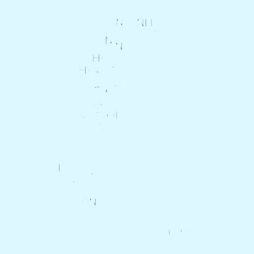 CCCCCCCCCCCCCCCCCCC[C@@H](COP(=O)(O)OC[C@@]1(C)OCC(O)(c2ccc3c(N)ncnn23)[C@@H]1O)OCc1cc(F)cc(C#N)c1